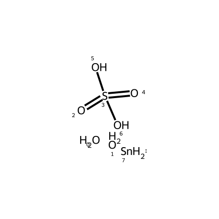 O.O.O=S(=O)(O)O.[SnH2]